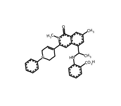 Cc1cc(C(C)Nc2ccccc2C(=O)O)c2cc(C3=CCN(c4ccccc4)CC3)n(C)c(=O)c2c1